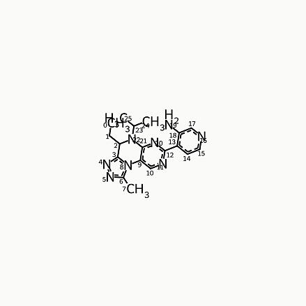 CCC1c2nnc(C)n2-c2cnc(-c3ccncc3N)nc2N1C(C)C